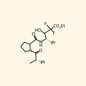 CCOC(=O)C(F)(F)C(O)[C@@H](NC(=O)C1CCCN1C(=O)[C@@H](C)C(C)C)C(C)C